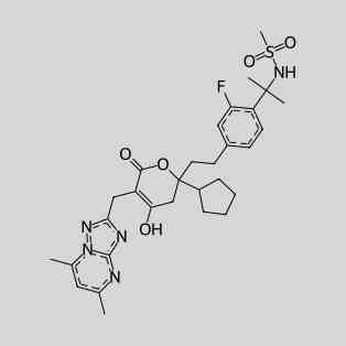 Cc1cc(C)n2nc(CC3=C(O)CC(CCc4ccc(C(C)(C)NS(C)(=O)=O)c(F)c4)(C4CCCC4)OC3=O)nc2n1